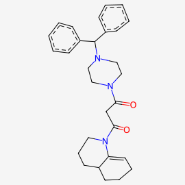 O=C(CC(=O)N1CCCC2CCCC=C21)N1CCN(C(c2ccccc2)c2ccccc2)CC1